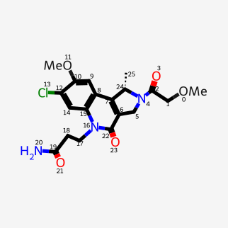 COCC(=O)N1Cc2c(c3cc(OC)c(Cl)cc3n(CCC(N)=O)c2=O)[C@@H]1C